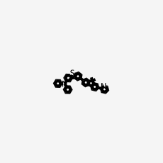 CC1(C)c2cc(-c3ccc4sc5ccc(N(c6ccccc6)c6ccccc6)cc5c4c3)ccc2-c2ccc(-c3ccccn3)cc21